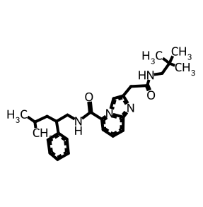 CC(C)CC(CNC(=O)c1cccc2nc(CC(=O)NCC(C)(C)C)cn12)c1ccccc1